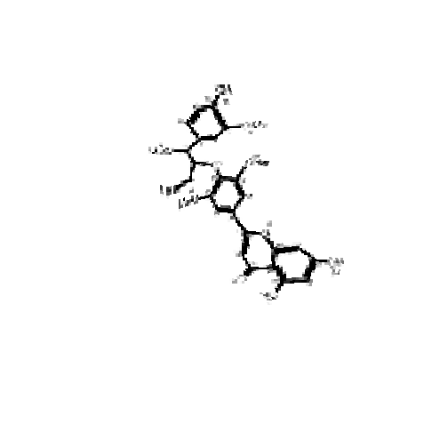 COc1cc(C(OC)C(CO)Oc2c(OC)cc(-c3cc(=O)c4c(O)cc(O)cc4o3)cc2OC)ccc1O